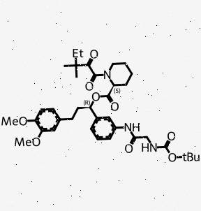 CCC(C)(C)C(=O)C(=O)N1CCCC[C@H]1C(=O)O[C@H](CCc1ccc(OC)c(OC)c1)c1cccc(NC(=O)CNC(=O)OC(C)(C)C)c1